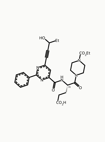 CCOC(=O)N1CCN(C(=O)[C@H](CCC(=O)O)NC(=O)c2cc(C#CC(O)CC)nc(-c3ccccc3)n2)CC1